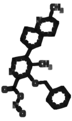 Cc1ccc2cc(-c3cnc(C(=O)ON=O)c(OCc4ccccc4)c3C)ccc2n1